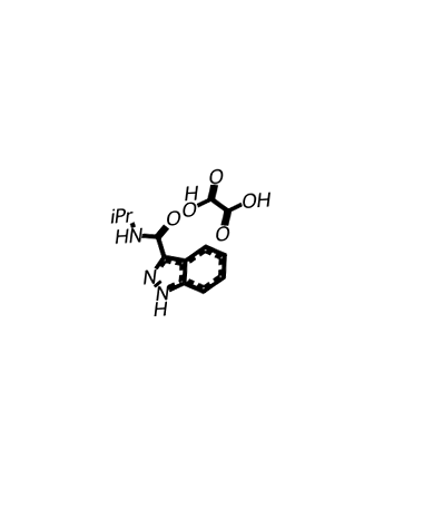 CC(C)NC(=O)c1n[nH]c2ccccc12.O=C(O)C(=O)O